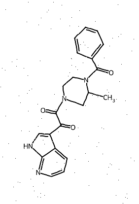 CC1CN(C(=O)C(=O)c2c[nH]c3ncccc23)CCN1C(=O)c1ccccc1